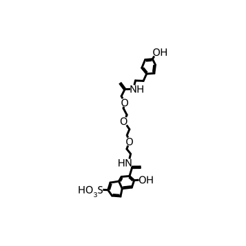 C=C(COCCOCCOCCNC(=C)c1cc2cc(S(=O)(=O)O)ccc2cc1O)NCCc1ccc(O)cc1